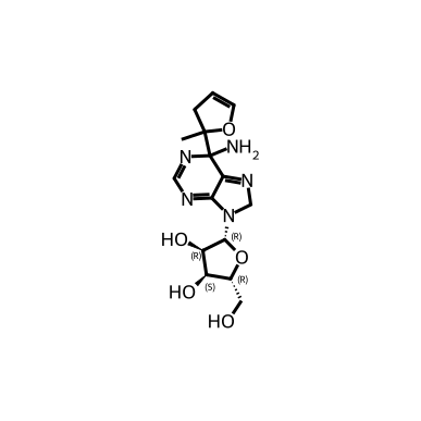 CC1(C2(N)N=CN=C3C2=NCN3[C@@H]2O[C@H](CO)[C@@H](O)[C@H]2O)CC=CO1